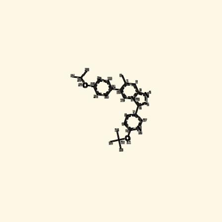 Cc1cc2ncc(-c3ccc(OC(C)(C)C)nc3)n2cc1-c1ccc(OC(C)C)cc1